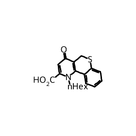 CCCCCCn1c(C(=O)O)cc(=O)c2c1-c1ccccc1SC2